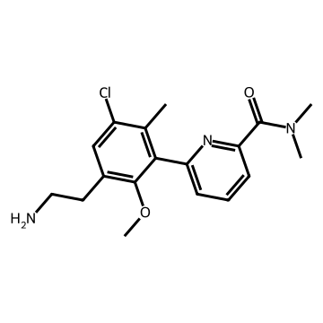 COc1c(CCN)cc(Cl)c(C)c1-c1cccc(C(=O)N(C)C)n1